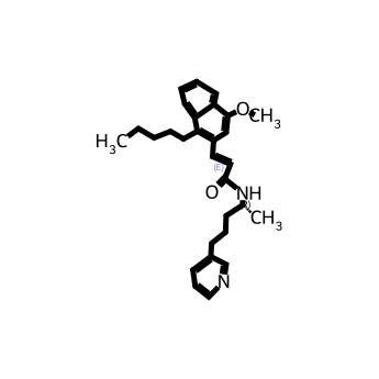 CCCCCc1c(/C=C/C(=O)N[C@H](C)CCCc2cccnc2)cc(OC)c2ccccc12